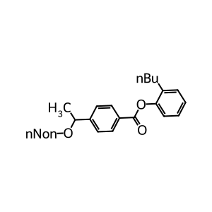 CCCCCCCCCOC(C)c1ccc(C(=O)Oc2ccccc2CCCC)cc1